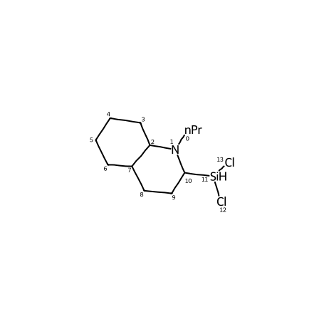 CCCN1C2CCCCC2CCC1[SiH](Cl)Cl